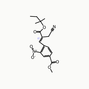 CCC(C)(C)OC(=O)/C(=C/c1ccc(C(=O)OC)cc1[N+](=O)[O-])CC#N